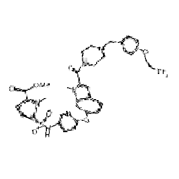 COC(=O)c1ccc(S(=O)(=O)Nc2ccc(Oc3ccc4cc(C(=O)N5CCN(Cc6ccc(OCC(F)(F)F)cc6)CC5)n(C)c4c3)nc2)n1C